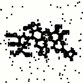 COc1cc(C2c3cc4c(cc3C(OC3OC5COC(C6=CCCS6)OC5C(O)C3O)C3COC(=O)C23)OCO4)cc(C(C)O)c1O